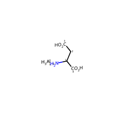 NC(CC(=O)O)C(=O)O.[AlH3]